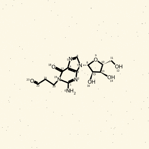 Nc1nc2c(ncn2[C@@H]2O[C@H](CO)[C@@H](O)[C@H]2O)c(=O)n1CCC=O